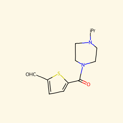 CC(C)N1CCN(C(=O)c2ccc(C=O)s2)CC1